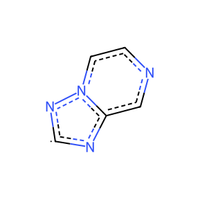 [c]1nc2cnccn2n1